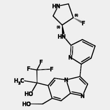 CC(O)(c1cn2c(-c3cccc(N[C@H]4CNC[C@@H]4F)n3)cnc2cc1CO)C(F)(F)F